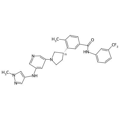 Cc1ccc(C(=O)Nc2cccc(C(F)(F)F)c2)cc1[C@@H]1CCN(c2cncc(Nc3cnn(C)c3)c2)C1